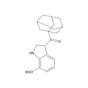 COc1cccc2c1NCC2C(=O)C12CC3CC(CC(C3)C1)C2